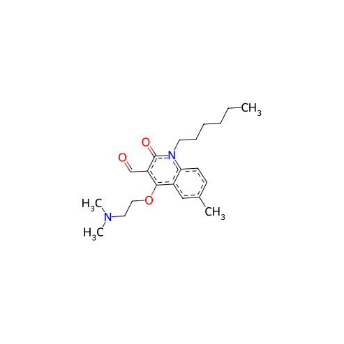 CCCCCCn1c(=O)c(C=O)c(OCCN(C)C)c2cc(C)ccc21